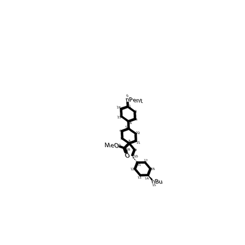 CCCCCC1CCC(C2CCC(CC[C@H]3CC[C@H](CCCC)CC3)(C(=O)OC)CC2)CC1